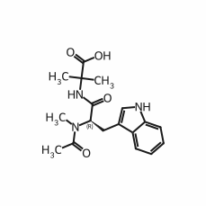 CC(=O)N(C)[C@H](Cc1c[nH]c2ccccc12)C(=O)NC(C)(C)C(=O)O